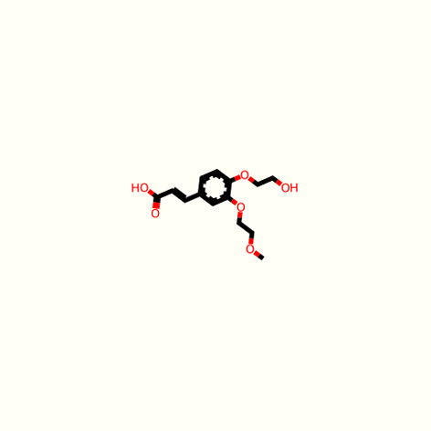 COCCOc1cc(/C=C/C(=O)O)ccc1OCCO